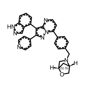 c1cc(-c2c(-c3ccncc3)nn3c(-c4ccc(CN5C[C@@H]6C[C@H]5CO6)cc4)ccnc23)c2cn[nH]c2c1